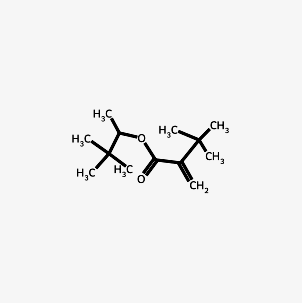 C=C(C(=O)OC(C)C(C)(C)C)C(C)(C)C